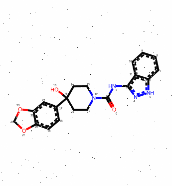 O=C(Nc1n[nH]c2ccccc12)N1CCC(O)(c2ccc3c(c2)OCO3)CC1